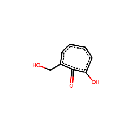 O=c1c(O)ccccc1CO